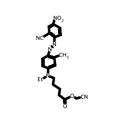 CCN(CCCCC(=O)OCC#N)c1ccc(N=Nc2ccc([N+](=O)[O-])cc2C#N)c(C)c1